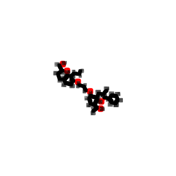 CCCc1c(OCCCOc2ccc(C(C)=O)c(OCc3ccccc3)c2CCC)ccc2c1OC(C=O)CC2